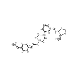 BN1CCC[C@H]1COc1cncc(N2CCC(CCOc3ccc(OCCCC)cc3)CC2)c1